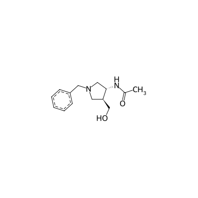 CC(=O)N[C@H]1CN(Cc2ccccc2)C[C@@H]1CO